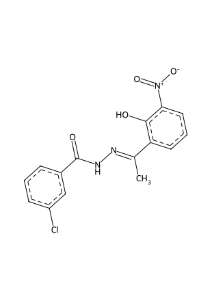 C/C(=N\NC(=O)c1cccc(Cl)c1)c1cccc([N+](=O)[O-])c1O